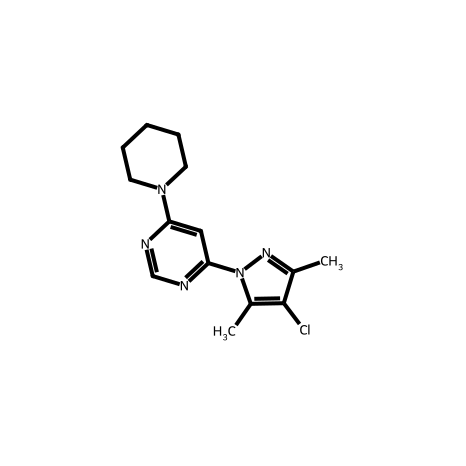 Cc1nn(-c2cc(N3CCCCC3)ncn2)c(C)c1Cl